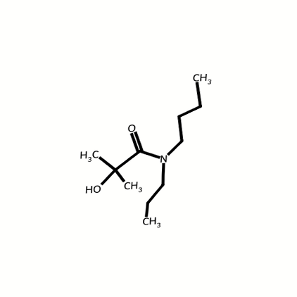 CCCCN(CCC)C(=O)C(C)(C)O